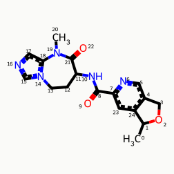 CC1OCc2cnc(C(=O)NC3CCn4cncc4N(C)C3=O)cc21